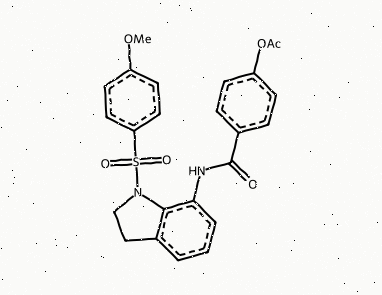 COc1ccc(S(=O)(=O)N2CCc3cccc(NC(=O)c4ccc(OC(C)=O)cc4)c32)cc1